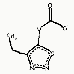 CCc1nnsc1OC(=O)Cl